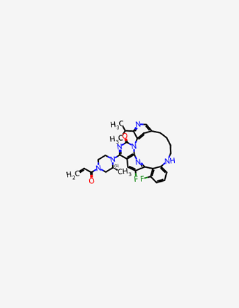 C=CC(=O)N1CCN(c2nc(=O)n3c4nc(c(F)cc24)-c2c(F)cccc2NCCCCc2cnc(C(C)C)c-3c2)[C@@H](C)C1